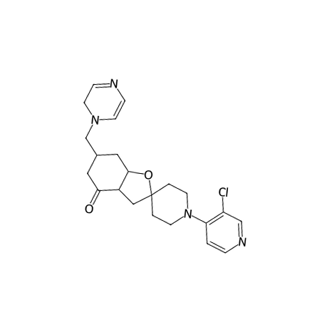 O=C1CC(CN2C=CN=CC2)CC2OC3(CCN(c4ccncc4Cl)CC3)CC12